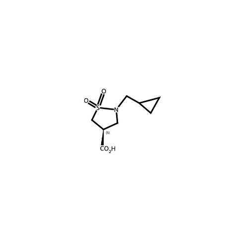 O=C(O)[C@@H]1CN(CC2CC2)S(=O)(=O)C1